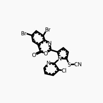 N#CSc1ccc(-c2nc3c(Br)cc(Br)cc3c(=O)o2)n1-c1ncccc1Cl